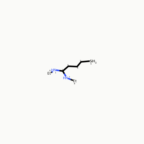 CCNC(CCC[SiH3])NCC